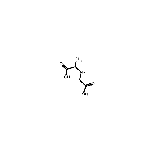 CC(NCC(=O)O)C(=O)O